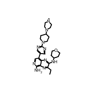 CCc1nc2c(N)ncc(-c3cnc(N4CCC(N5CCN(C)CC5)CC4)nc3)c2nc1NC1CCOCC1